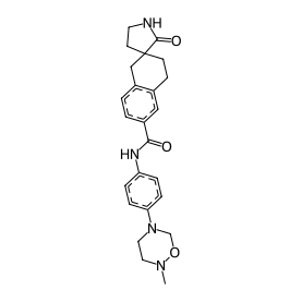 CN1CCN(c2ccc(NC(=O)c3ccc4c(c3)CCC3(CCNC3=O)C4)cc2)CO1